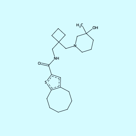 CC1(O)CCCN(CC2(CNC(=O)c3cc4c(s3)CCCCCC4)CCC2)C1